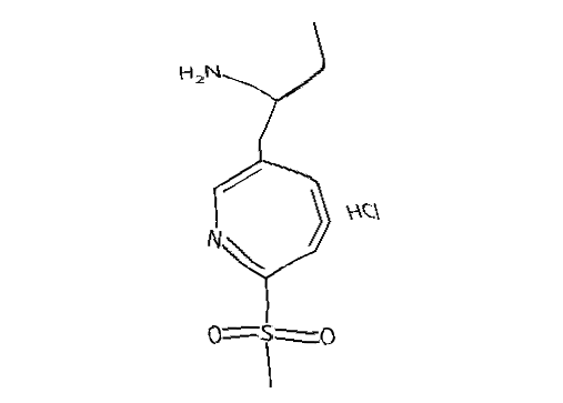 CCC(N)c1ccc(S(C)(=O)=O)nc1.Cl